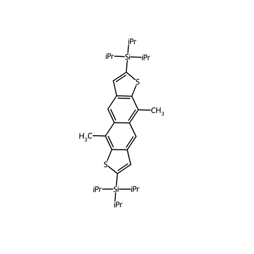 Cc1c2cc3cc([Si](C(C)C)(C(C)C)C(C)C)sc3c(C)c2cc2cc([Si](C(C)C)(C(C)C)C(C)C)sc12